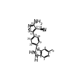 Cc1ccc2c(c1)N(c1ccc(-c3snc(N)c3C#N)cc1)NN2